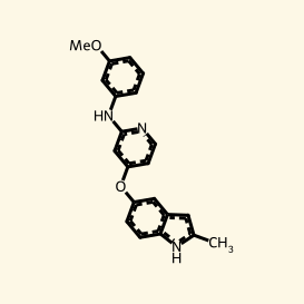 COc1cccc(Nc2cc(Oc3ccc4[nH]c(C)cc4c3)ccn2)c1